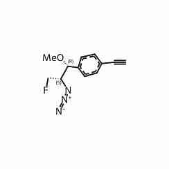 C#Cc1ccc([C@@H](OC)[C@@H](CF)N=[N+]=[N-])cc1